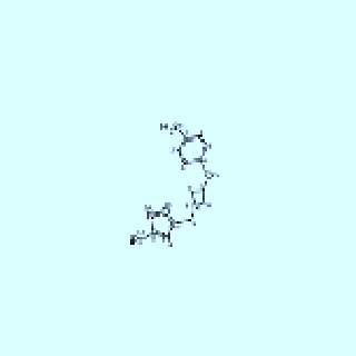 Bc1ccc(OC2CN(Cc3nc(C(C)C)no3)C2)cn1